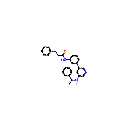 C[C@H](Nc1cncc(-c2cccc(NC(=O)CCc3ccccc3)c2)c1)c1ccccc1